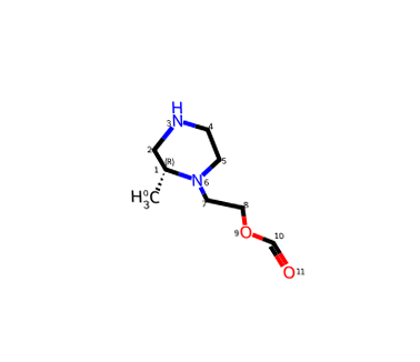 C[C@@H]1CNCCN1CCOC=O